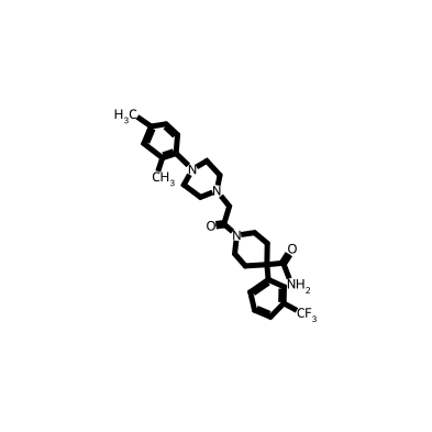 Cc1ccc(N2CCN(CC(=O)N3CCC(C(N)=O)(c4cccc(C(F)(F)F)c4)CC3)CC2)c(C)c1